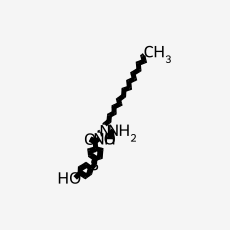 CCCCCCCCCCCCCCCCCCN(CNC(=O)c1ccc(Sc2ccc(O)cc2)cc1)C(N)=O